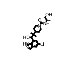 C[C@H](CO)NC(=O)N1CCC(C(C)(C)[C@H](O)c2cc(Cl)cc3cn[nH]c23)CC1